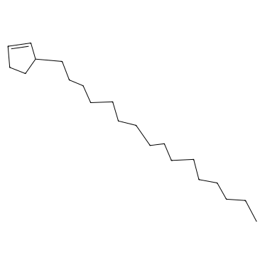 CCCCCCCCCCCCCCCCC1C=CCC1